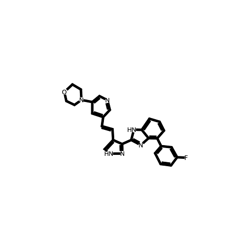 Fc1cccc(-c2cccc3[nH]c(-c4n[nH]cc4/C=C/c4cncc(N5CCOCC5)c4)nc23)c1